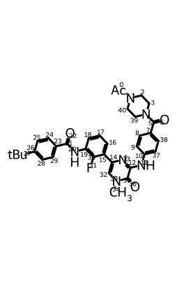 CC(=O)N1CCN(C(=O)c2ccc(Nc3nc(-c4cccc(NC(=O)c5ccc(C(C)(C)C)cc5)c4F)cn(C)c3=O)cc2)CC1